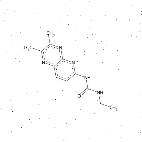 CCNC(=O)Nc1ccc2nc(C)c(C)nc2n1